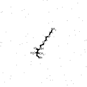 CC(C)CC(C)(C)C(=O)NCCOCCOCCN